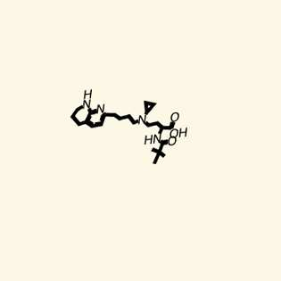 CC(C)(C)C(=O)NC(CCN(CCCCc1ccc2c(n1)NCCC2)C1CC1)C(=O)O